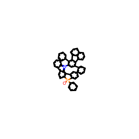 O=P1(c2ccccc2)c2ccccc2-c2c1ccc1c3ccccc3n(-c3cc(-c4ccccc4)c4c(c3-c3ccccc3)-c3cccc5cccc-4c35)c21